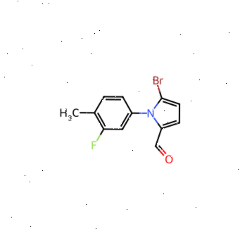 Cc1ccc(-n2c(Br)ccc2C=O)cc1F